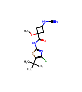 COC1(C(=O)Nc2nc(Cl)c(C(C)(C)C)s2)CC(NC#N)C1